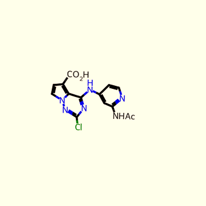 CC(=O)Nc1cc(Nc2nc(Cl)nn3ccc(C(=O)O)c23)ccn1